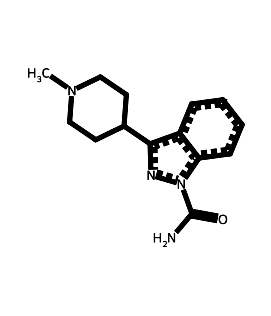 CN1CCC(c2nn(C(N)=O)c3cc[c]cc23)CC1